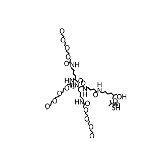 COCCOCCOCCOCC(=O)NCCCCC(NC(=O)COCCOCCOCCOC)C(=O)NC(CCCCNC(=O)COCCOCCOCCOC)C(=O)NCCCC(=O)NCCCCC(CO)COP(=O)(S)C(C)C